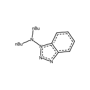 CCCCN(CCCC)n1nnc2ccccc21